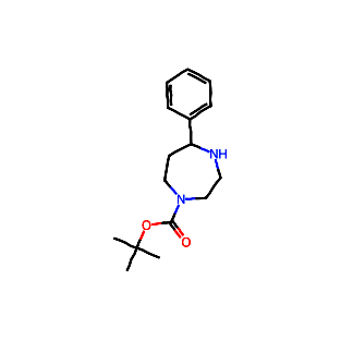 CC(C)(C)OC(=O)N1CCNC(c2ccccc2)CC1